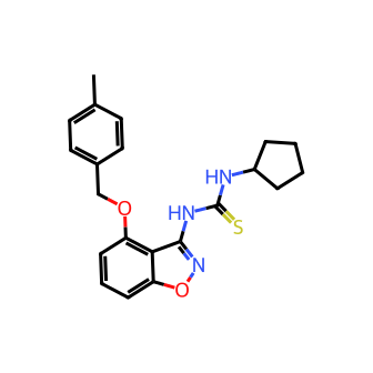 Cc1ccc(COc2cccc3onc(NC(=S)NC4CCCC4)c23)cc1